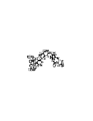 Cc1c(-c2cc3cc(Nc4cc5n(n4)CC(=O)N(CC(F)F)CC5)ncc3cn2)cncc1N(C(=O)OC(C)(C)C)C(=O)OC(C)(C)C